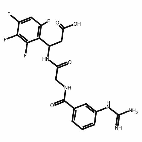 N=C(N)Nc1cccc(C(=O)NCC(=O)NC(CC(=O)O)c2c(F)cc(F)c(F)c2F)c1